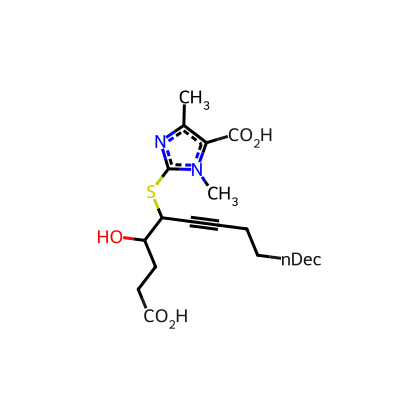 CCCCCCCCCCCCC#CC(Sc1nc(C)c(C(=O)O)n1C)C(O)CCC(=O)O